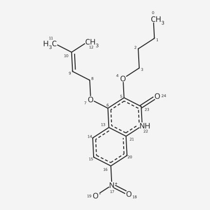 CCCCOc1c(OCC=C(C)C)c2ccc([N+](=O)[O-])cc2[nH]c1=O